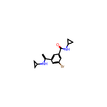 C=C(NC1CC1)c1cc(Br)cc(C(=O)NC2CC2)c1